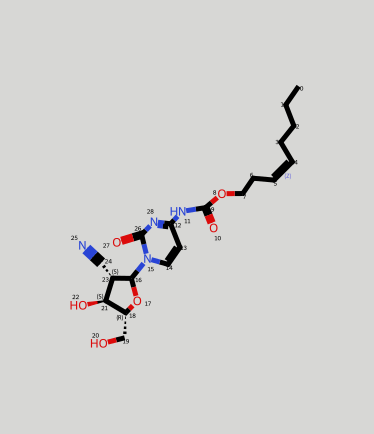 CCCC/C=C\CCOC(=O)Nc1ccn(C2O[C@H](CO)[C@@H](O)[C@@H]2C#N)c(=O)n1